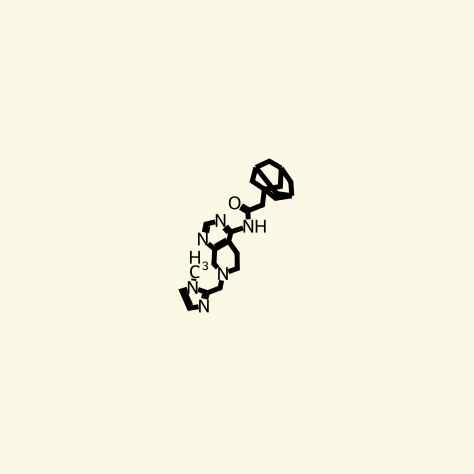 Cn1ccnc1CN1CCc2c(ncnc2NC(=O)CC23CC4CC(CC(C4)C2)C3)C1